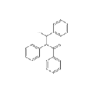 [CH2]C(c1ccccc1)C(C(=C)c1ccccc1)c1ccccc1